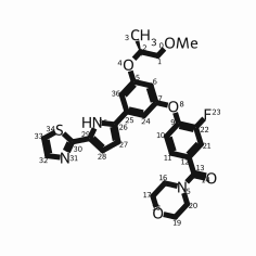 COC[C@H](C)Oc1cc(Oc2ccc(C(=O)N3CCOCC3)cc2F)cc(-c2ccc(-c3nccs3)[nH]2)c1